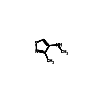 CNc1csnc1C